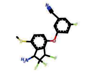 CSc1ccc(Oc2cc(F)cc(C#N)c2)c2c1C(N)C(F)(F)C2F